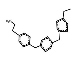 CCc1ccc(Cc2ccc(Cc3ccc(CCP)cc3)cc2)cc1